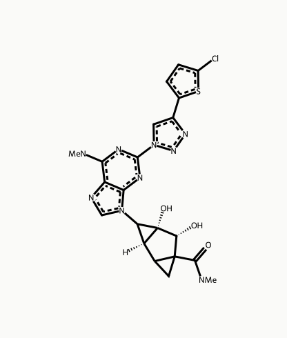 CNC(=O)C12CC1[C@H]1C(n3cnc4c(NC)nc(-n5cc(-c6ccc(Cl)s6)nn5)nc43)[C@@]1(O)[C@@H]2O